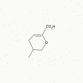 CC1CC=C(C(=O)O)OC1